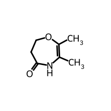 CC1=C(C)OCCC(=O)N1